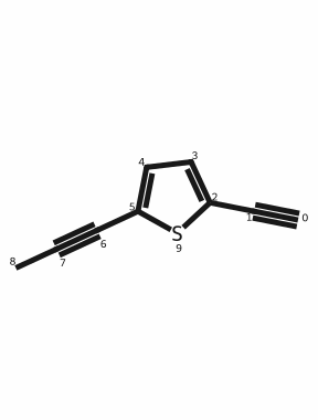 C#Cc1ccc(C#CC)s1